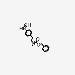 CN(CCc1ccc(BO)cc1)C(=O)OCc1ccccc1